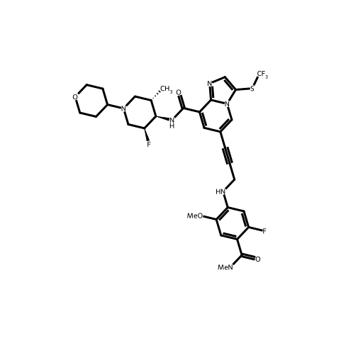 CNC(=O)c1cc(OC)c(NCC#Cc2cc(C(=O)N[C@@H]3[C@@H](C)CN(C4CCOCC4)C[C@@H]3F)c3ncc(SC(F)(F)F)n3c2)cc1F